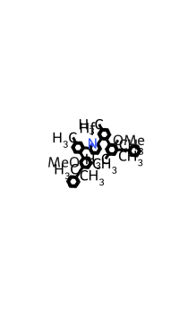 COc1c(-c2ccc(C)cc2-c2cccc(-c3cc(C)ccc3-c3cc(C)cc(C(C)(C)c4ccccc4)c3OC)n2)cc(C)cc1C(C)(C)c1ccccc1.[Hf]